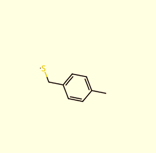 Cc1ccc(C[S])cc1